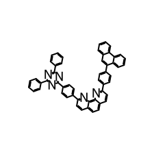 c1ccc(-c2nc(-c3ccccc3)nc(-c3ccc(-c4ccc5ccc6ccc(-c7ccc(-c8cc9ccccc9c9ccccc89)cc7)nc6c5n4)cc3)n2)cc1